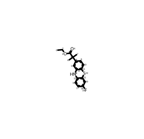 CCOC(=O)C(C)(C)c1ccc2c(c1)Nc1ccc(F)cc1S2